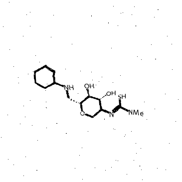 CN/C(S)=N/C1CO[C@H](CNC2CCCCC2)[C@@H](O)[C@@H]1O